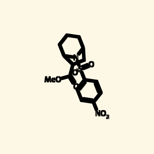 COC(=O)C1CC2CCCC1N2S(=O)(=O)c1ccc([N+](=O)[O-])cc1